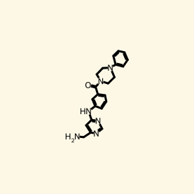 NCc1cc(Nc2cccc(C(=O)N3CCN(c4ccccc4)CC3)c2)ncn1